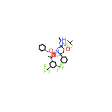 C=CC[C@]1(N[S+]([O-])C(C)(C)C)CC[C@@](CO[C@H](C)c2cc(C(F)(F)F)cc(C(F)(F)F)c2)(c2ccccc2)N(C(=O)OCc2ccccc2)C1